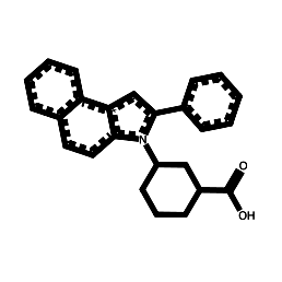 O=C(O)C1CCCC(n2c(-c3ccccc3)cc3c4ccccc4ccc32)C1